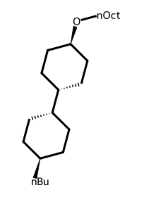 CCCCCCCCO[C@H]1CC[C@H]([C@H]2CC[C@H](CCCC)CC2)CC1